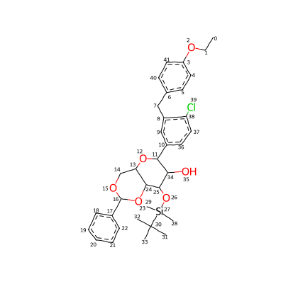 CCOc1ccc(Cc2cc(C3OC4COC(c5ccccc5)OC4C(O[Si](C)(C)C(C)(C)C)C3O)ccc2Cl)cc1